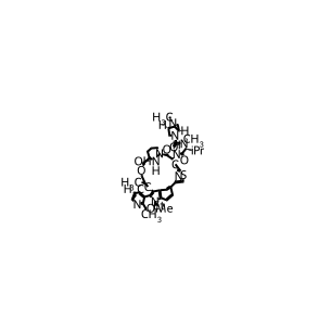 CCn1c(-c2cccnc2[C@H](C)OC)c2c3cc(ccc31)-c1csc(n1)C[C@H](NC(=O)[C@H](C(C)C)N(C)C(=O)N1C[C@@H]3C[C@H]1CN3C)C(=O)N1CCC[C@H](N1)C(=O)OCC(C)(C)C2